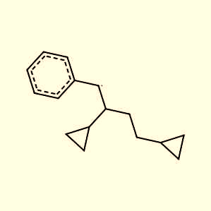 [CH](c1ccccc1)C(CCC1CC1)C1CC1